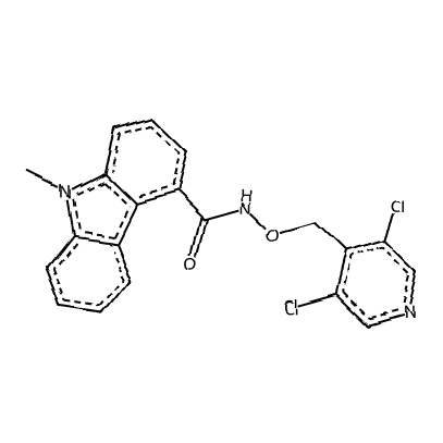 Cn1c2ccccc2c2c(C(=O)NOCc3c(Cl)cncc3Cl)cccc21